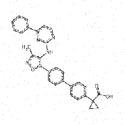 Cc1noc(-c2ccc(-c3ccc(C4(C(=O)O)CC4)cc3)cc2)c1Nc1nccc(-c2ccccc2)n1